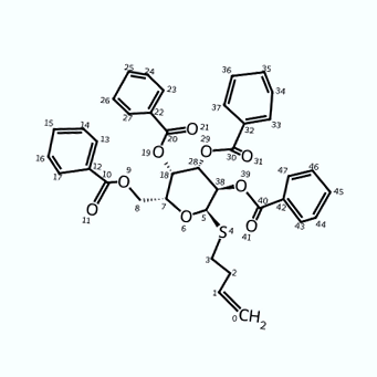 C=CCCS[C@H]1O[C@H](COC(=O)c2ccccc2)[C@H](OC(=O)c2ccccc2)[C@H](OC(=O)c2ccccc2)[C@H]1OC(=O)c1ccccc1